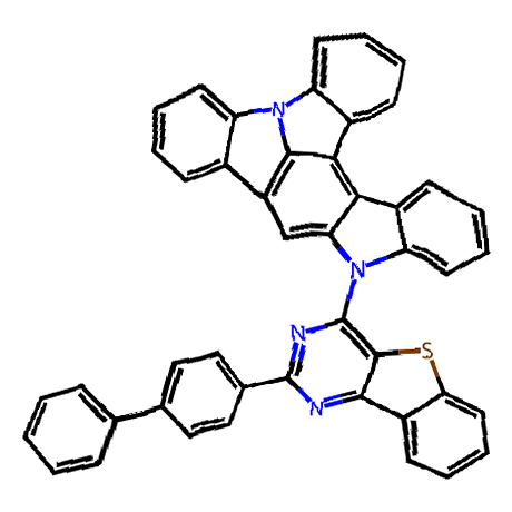 c1ccc(-c2ccc(-c3nc(-n4c5ccccc5c5c6c7ccccc7n7c8ccccc8c(cc54)c67)c4sc5ccccc5c4n3)cc2)cc1